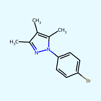 Cc1nn(-c2ccc(Br)cc2)c(C)c1C